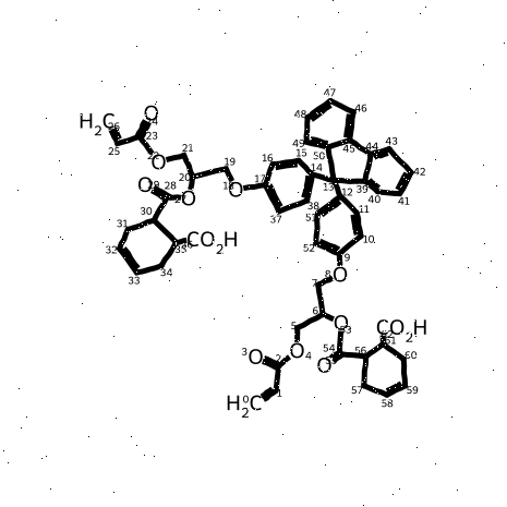 C=CC(=O)OCC(COc1ccc(C2(c3ccc(OCC(COC(=O)C=C)OC(=O)C4CC=CCC4C(=O)O)cc3)c3ccccc3-c3ccccc32)cc1)OC(=O)C1CC=CCC1C(=O)O